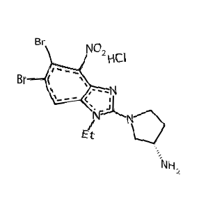 CCn1c(N2CC[C@H](N)C2)nc2c([N+](=O)[O-])c(Br)c(Br)cc21.Cl